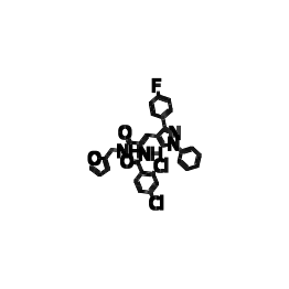 O=C(NCc1ccco1)/C(=C/c1cn(-c2ccccc2)nc1-c1ccc(F)cc1)NC(=O)c1ccc(Cl)cc1Cl